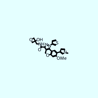 COc1cc2c(cc1-c1ccn(C)c1)-c1c(c(C(=O)NCC3(O)COC3)nn1-c1ccsc1)CO2